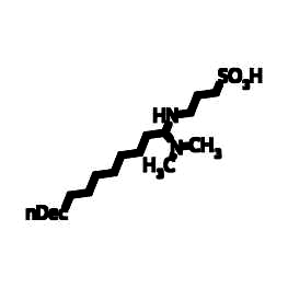 CCCCCCCCCCCCCCCCCC(NCCCS(=O)(=O)O)N(C)C